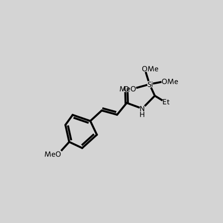 CCC(NC(=O)/C=C/c1ccc(OC)cc1)[Si](OC)(OC)OC